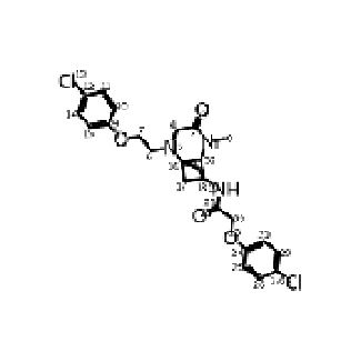 CN1C(=O)CN(CCOc2ccc(Cl)cc2)C23CC(NC(=O)COc4ccc(Cl)cc4)(C2)C13